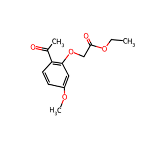 CCOC(=O)COc1cc(OC)ccc1C(C)=O